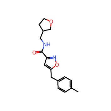 Cc1ccc(Cc2cc(C(=O)NCC3CCOC3)no2)cc1